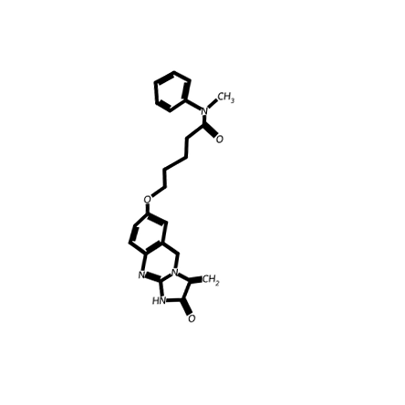 C=c1c(=O)[nH]c2n1Cc1cc(OCCCCC(=O)N(C)c3ccccc3)ccc1N=2